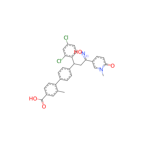 Cc1cc(C(=O)O)ccc1-c1ccc(C(C/C(=N\O)c2ccc(=O)n(C)c2)c2ccc(Cl)cc2Cl)cc1